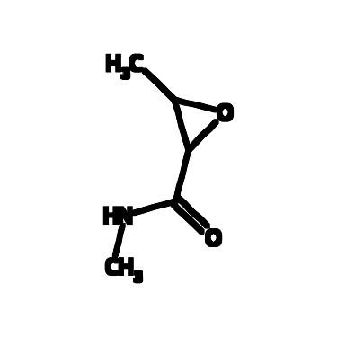 CNC(=O)C1OC1C